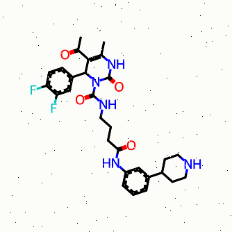 CC(=O)C1=C(C)NC(=O)N(C(=O)NCCCC(=O)Nc2cccc(C3CCNCC3)c2)C1c1ccc(F)c(F)c1